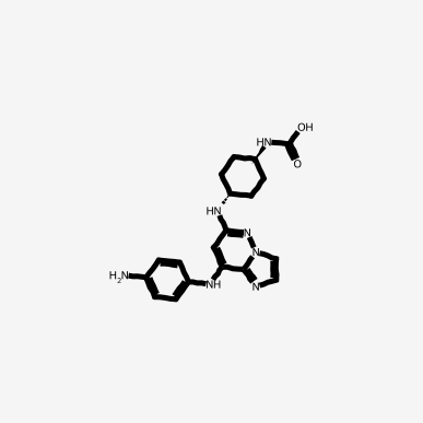 Nc1ccc(Nc2cc(N[C@H]3CC[C@H](NC(=O)O)CC3)nn3ccnc23)cc1